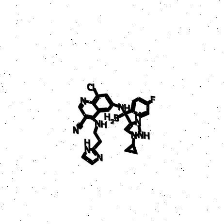 BC(Nc1cc(Cl)c2ncc(C#N)c(NCCc3ncc[nH]3)c2c1)(C1=CN(C2CC2)NN1)c1ccc(F)cc1